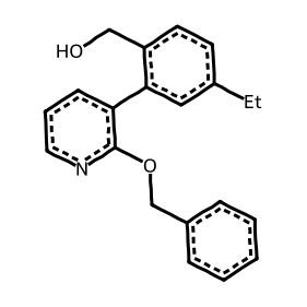 CCc1ccc(CO)c(-c2cccnc2OCc2ccccc2)c1